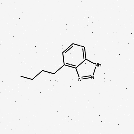 CCC[CH]c1cccc2[nH]nnc12